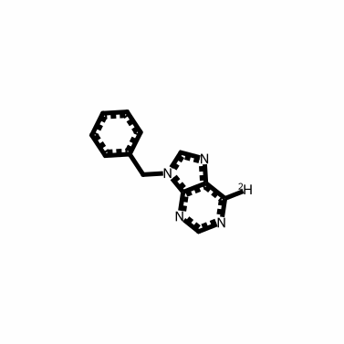 [2H]c1ncnc2c1ncn2Cc1ccccc1